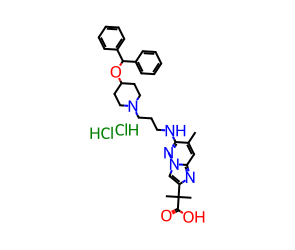 Cc1cc2nc(C(C)(C)C(=O)O)cn2nc1NCCCN1CCC(OC(c2ccccc2)c2ccccc2)CC1.Cl.Cl